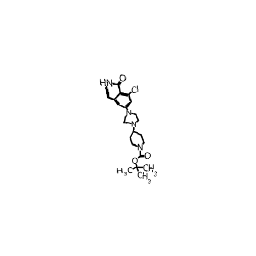 CC(C)(C)OC(=O)N1CCC(N2CCN(c3cc(Cl)c4c(=O)[nH]ccc4c3)CC2)CC1